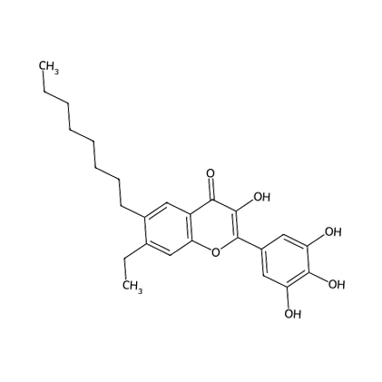 CCCCCCCCc1cc2c(=O)c(O)c(-c3cc(O)c(O)c(O)c3)oc2cc1CC